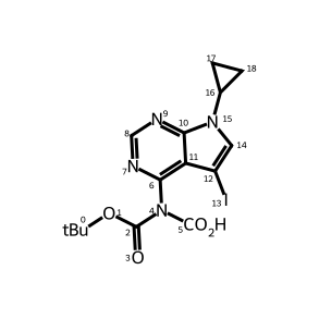 CC(C)(C)OC(=O)N(C(=O)O)c1ncnc2c1c(I)cn2C1CC1